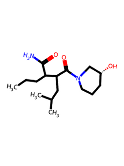 CCCC(C(N)=O)C(CC(C)C)C(=O)N1CCC[C@@H](O)C1